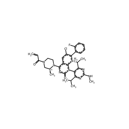 C=CC(=O)N1CCN(c2nc(=O)n(-c3c(C(C)C)nc(NC)nc3C(C)C)c3nc(-c4ccccc4F)c(Cl)cc23)[C@@H](C)C1